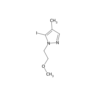 COCCn1ncc(C)c1I